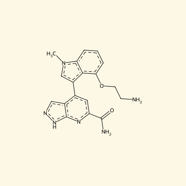 Cn1cc(-c2cc(C(N)=O)nc3[nH]ncc23)c2c(OCCN)cccc21